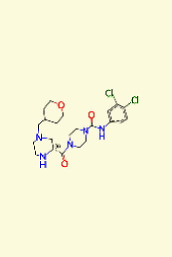 O=C(Nc1ccc(Cl)c(Cl)c1)N1CCN(C(=O)[C@H]2CN(CC3CCOCC3)CCN2)CC1